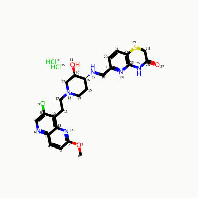 COc1ccc2ncc(Cl)c(CCN3CC[C@@H](NCc4ccc5c(n4)NC(=O)CS5)[C@H](O)C3)c2n1.Cl.Cl